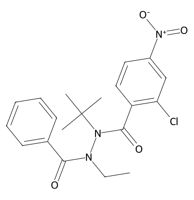 CCN(C(=O)c1ccccc1)N(C(=O)c1ccc([N+](=O)[O-])cc1Cl)C(C)(C)C